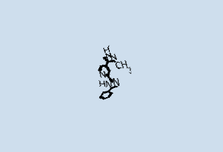 Cc1n[nH]cc1-c1ccnc(-c2ncc(-c3ccccc3)[nH]2)c1